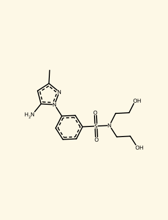 Cc1cc(N)n(-c2cccc(S(=O)(=O)N(CCO)CCO)c2)n1